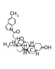 Cc1ccc2c(ccn2C(=O)CC[C@@H](C)[C@H]2CC[C@H]3[C@@H]4CC[C@@H]5C[C@H](O)CC[C@]5(C)[C@H]4C[C@H](O)[C@]23C)c1